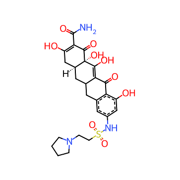 NC(=O)C1=C(O)C[C@@H]2CC3Cc4cc(NS(=O)(=O)CCN5CCCC5)cc(O)c4C(=O)C3=C(O)[C@]2(O)C1=O